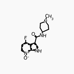 CN1CCC(NC(=O)c2c[nH]c3c2c(F)cc[n+]3[O-])CC1